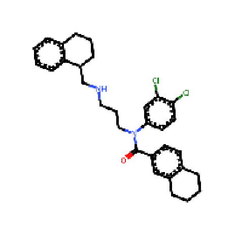 O=C(c1ccc2c(c1)CCCC2)N(CCCNCC1CCCc2ccccc21)c1ccc(Cl)c(Cl)c1